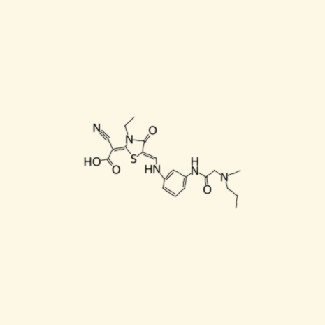 CCCN(C)CC(=O)Nc1cccc(NC=c2sc(=C(C#N)C(=O)O)n(CC)c2=O)c1